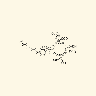 CCOCCOCCOc1ccc(CC(C(=O)O)N2CCN(C(CO)C(=O)[O-])CCN(C(CO)C(=O)[O-])CCN(C(CO)C(=O)[O-])CC2)cc1.[Gd+3]